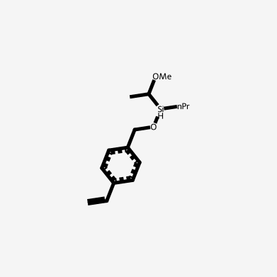 C=Cc1ccc(CO[SiH](CCC)C(C)OC)cc1